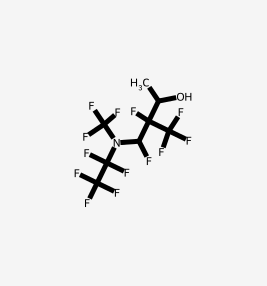 CC(O)C(F)(C(F)N(C(F)(F)F)C(F)(F)C(F)(F)F)C(F)(F)F